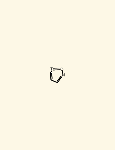 C1=C[Te]ON=C1